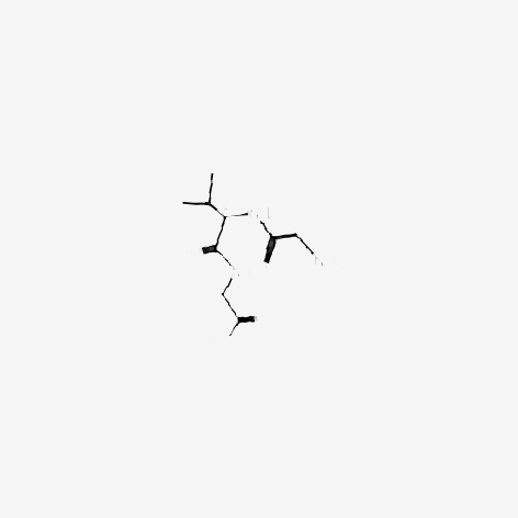 CC(C)[C@@H](NC(=O)CN)C(=O)NCC(=O)O